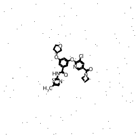 Cc1cnc(NC(=O)c2cc(Oc3ncc(C(=O)N4CCC4)cc3Cl)cc(O[C@H]3CCOC3)c2)s1